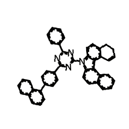 C1=Cc2c(ccc3c2c2c4ccccc4ccc2n3-c2nc(-c3ccccc3)nc(-c3ccc(-c4cccc5ccccc45)cc3)n2)CC1